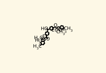 CCC(Cc1ccc(C)cc1)(C(=O)c1ccc(C(O)c2ccc(C(=O)C(CC)(Cc3ccc(C)cc3)N(C)C)cc2)cc1)N(C)C